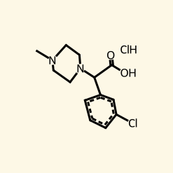 CN1CCN(C(C(=O)O)c2cccc(Cl)c2)CC1.Cl